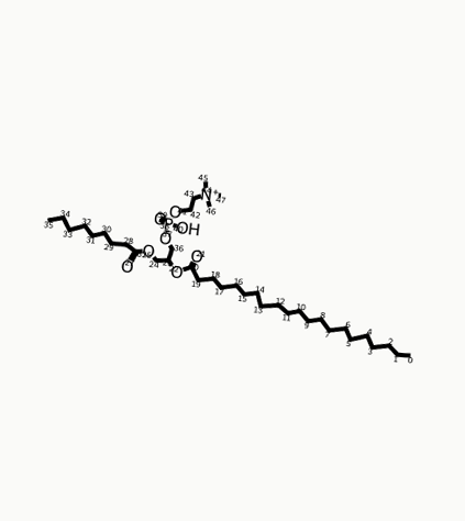 CCCCCCCCCCCCCCCCCCCCC(=O)OC(COC(=O)CCCCCCCC)COP(=O)(O)OCC[N+](C)(C)C